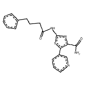 NC(=O)c1nc(NC(=O)[CH]CCc2ccccc2)sc1-c1cccnc1